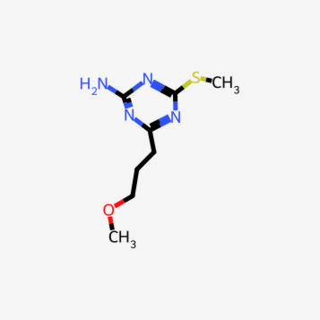 COCCCc1nc(N)nc(SC)n1